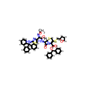 CO/N=C(\C(=O)NC1C(=O)N2C(C(=O)OC(c3ccccc3)c3ccccc3)=C(SCC3CCCO3)CS[C@@H]12)c1csc(NC(c2ccccc2)(c2ccccc2)c2ccccc2)n1